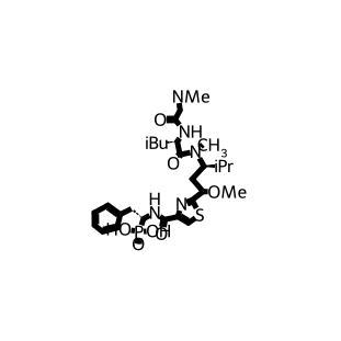 CCC(C)[C@H](NC(=O)CNC)C(=O)N(C)[C@H](CC(OC)c1nc(C(=O)N[C@@H](Cc2ccccc2)P(=O)(O)O)cs1)C(C)C